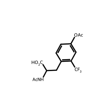 CC(=O)NC(Cc1ccc(OC(C)=O)cc1C(F)(F)F)C(=O)O